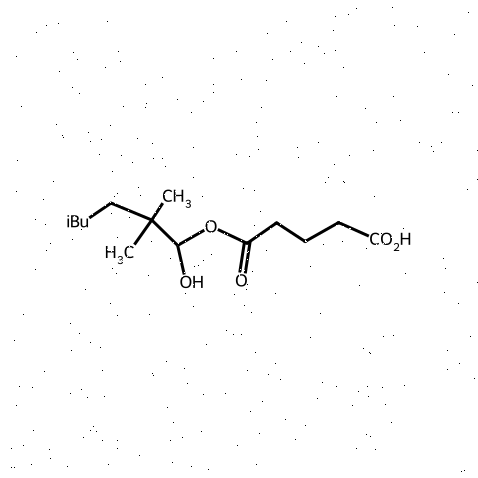 CCC(C)CC(C)(C)C(O)OC(=O)CCCC(=O)O